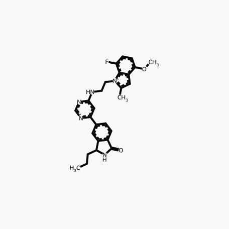 CCCC1NC(=O)c2ccc(-c3cc(NCCn4c(C)cc5c(OC)ccc(F)c54)ncn3)cc21